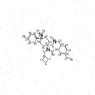 C=CN(CC1CCC1)C1(CN(C)CC2C=CC(CC)=CC2)CCC(C2=CC=C(C)CC2)(N(C)C)CC1